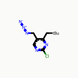 [CH2]C(C)(C)Cc1nc(Cl)ncc1CN=[N+]=[N-]